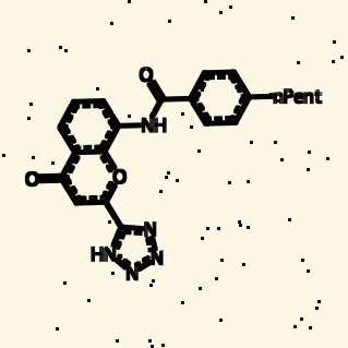 CCCCCc1ccc(C(=O)Nc2cccc3c(=O)cc(-c4nnn[nH]4)oc23)cc1